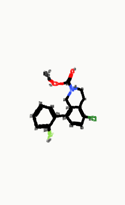 CC(C)(C)OC(=O)N1CCc2c(Cl)ccc(-c3ccccc3F)c2C1